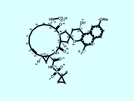 COc1ccc2nc(C(F)(F)F)c3c(c2c1)[C@@H](O)C[C@]1(C[C@H]2C(=O)N[C@]4(C(=O)NS(=O)(=O)C5(C)CC5)C[C@H]4/C=C\CCCCC[C@H](NC(=O)O)C(=O)N2C1)O3